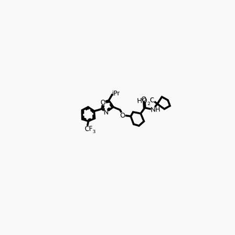 CC(C)c1oc(-c2cccc(C(F)(F)F)c2)nc1COC1CCCC(C(=O)NC2(C(=O)O)CCCC2)C1